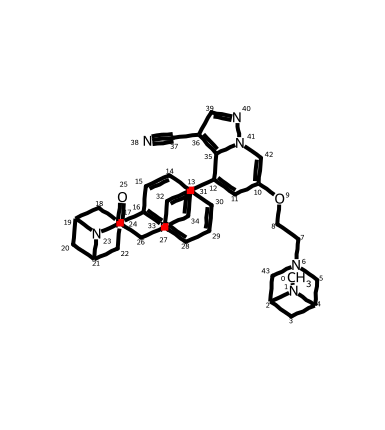 CN1C2CC1CN(CCOc1cc(-c3ccc(N4CC5CC(C4)N5C(=O)Cc4ccccc4)nc3)c3c(C#N)cnn3c1)C2